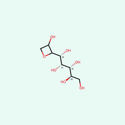 OC[C@@H](O)[C@@H](O)[C@H](O)[C@@H](O)C1OCC1O